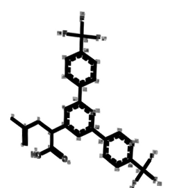 C=C(C)CC(C(=O)O)c1cc(-c2ccc(C(F)(F)F)cc2)nc(-c2ccc(C(F)(F)F)nc2)c1